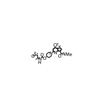 CNC(=O)c1csc2c(C(F)(F)F)cc(N3CCC(OC(=O)N[C@@H](C)C[S+](C)[O-])CC3)nc12